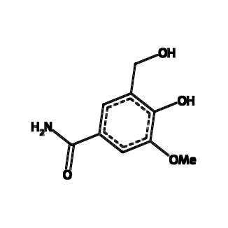 COc1cc(C(N)=O)cc(CO)c1O